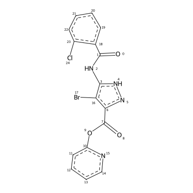 O=C(Nc1[nH]nc(C(=O)Oc2ccccn2)c1Br)c1ccccc1Cl